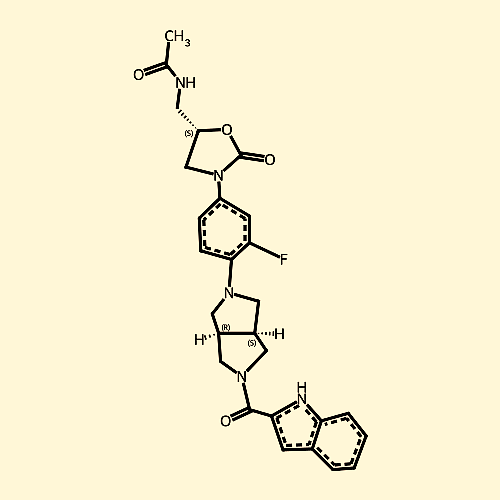 CC(=O)NC[C@H]1CN(c2ccc(N3C[C@H]4CN(C(=O)c5cc6ccccc6[nH]5)C[C@H]4C3)c(F)c2)C(=O)O1